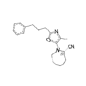 Cc1nc(CCCc2ccccc2)oc1N1CCCC[C@H]1C#N